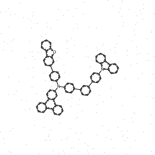 c1cc(-c2ccc(N(c3ccc(-c4ccc5c(c4)oc4ccccc45)cc3)c3ccc4c5ccccc5c5ccccc5c4c3)cc2)cc(-c2ccc(-n3c4ccccc4c4ccccc43)cc2)c1